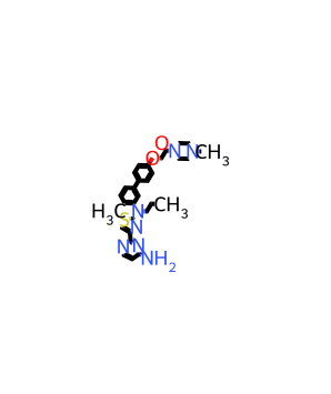 CCCN(c1nc(-c2nccc(N)n2)cs1)c1cc(-c2ccc(OCC(=O)N3CCN(C)CC3)cc2)ccc1C